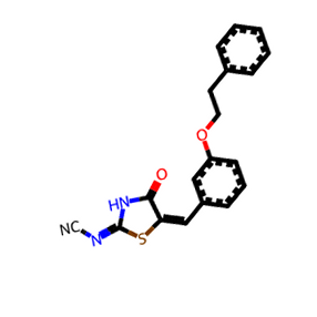 N#C/N=C1\NC(=O)/C(=C\c2cccc(OCCc3ccccc3)c2)S1